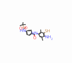 Cc1cc(NC(=O)c2ccc(NS(=O)(=O)C(C)(C)C)cc2)c(C)c(S)c1N